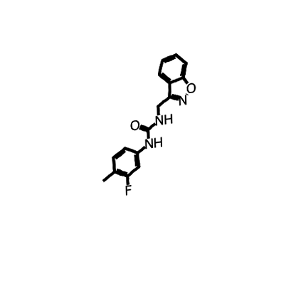 Cc1ccc(NC(=O)NCc2noc3ccccc23)cc1F